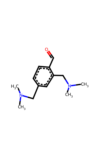 CN(C)Cc1ccc(C=O)c(CN(C)C)c1